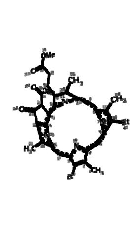 CCC1=C(C)c2cc3[nH]c(cc4nc(c5c6[nH]c(cc1n2)c(C)c6C(=O)C5C(=O)OC)C(CCC(=O)OC)C4C)c(C)c3CC